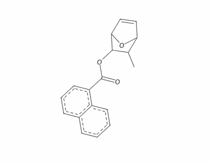 CC1C2C=CC(O2)C1OC(=O)c1cccc2ccccc12